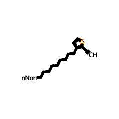 C#Cc1sccc1CCCCCCCCCCCCCCCCCC